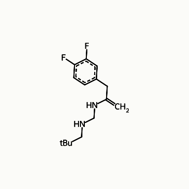 C=C(Cc1ccc(F)c(F)c1)NCNCC(C)(C)C